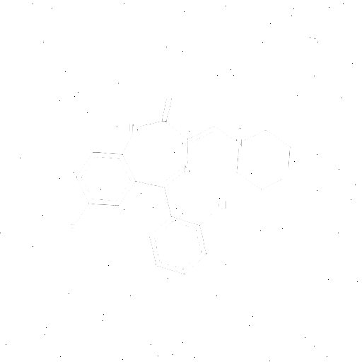 O=C1Nc2ccc(F)cc2C(c2ccccc2Cl)=NC1=CN1CCOCC1